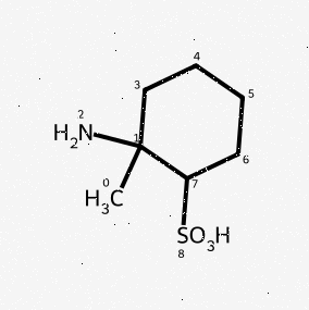 CC1(N)CCCCC1S(=O)(=O)O